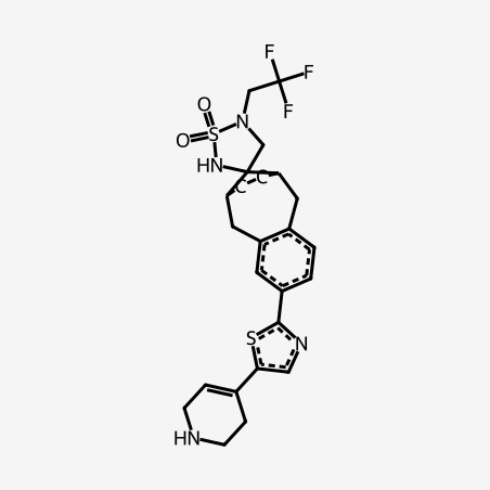 O=S1(=O)NC2(CN1CC(F)(F)F)C1CCC2Cc2cc(-c3ncc(C4=CCNCC4)s3)ccc2C1